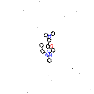 c1ccc(-c2cccc(-c3nc(-c4ccccc4)nc(-c4cccc5oc6c(-c7ccc8c(c7)c7ccccc7n8-c7ccccc7)cccc6c45)n3)c2)cc1